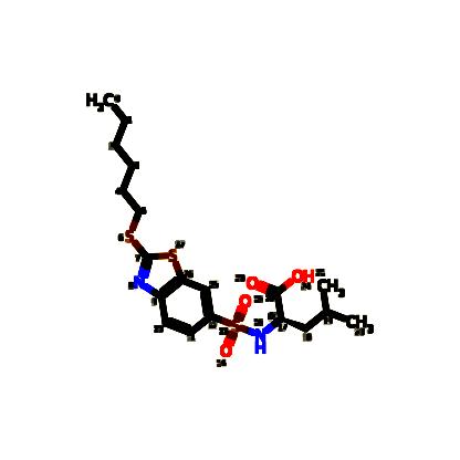 CCCCCCSc1nc2ccc(S(=O)(=O)N[C@H](CC(C)C)C(=O)O)cc2s1